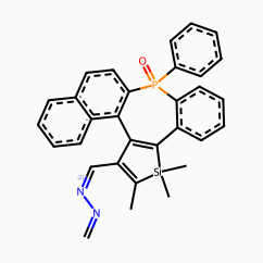 C=N/N=C\C1=C(C)[Si](C)(C)C2=C1c1c(ccc3ccccc13)P(=O)(c1ccccc1)c1ccccc12